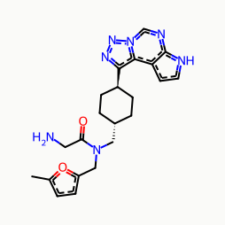 Cc1ccc(CN(C[C@H]2CC[C@H](c3nnn4cnc5[nH]ccc5c34)CC2)C(=O)CN)o1